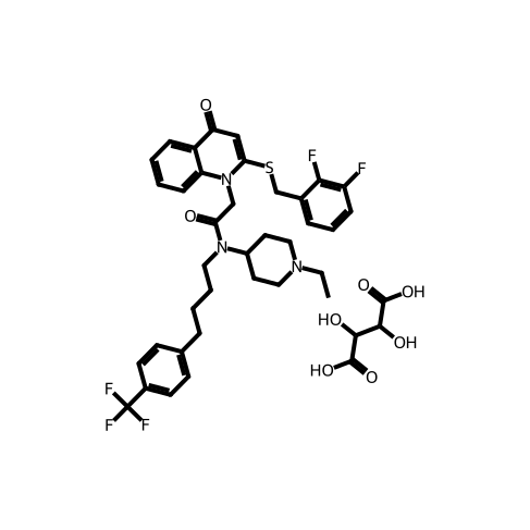 CCN1CCC(N(CCCCc2ccc(C(F)(F)F)cc2)C(=O)Cn2c(SCc3cccc(F)c3F)cc(=O)c3ccccc32)CC1.O=C(O)C(O)C(O)C(=O)O